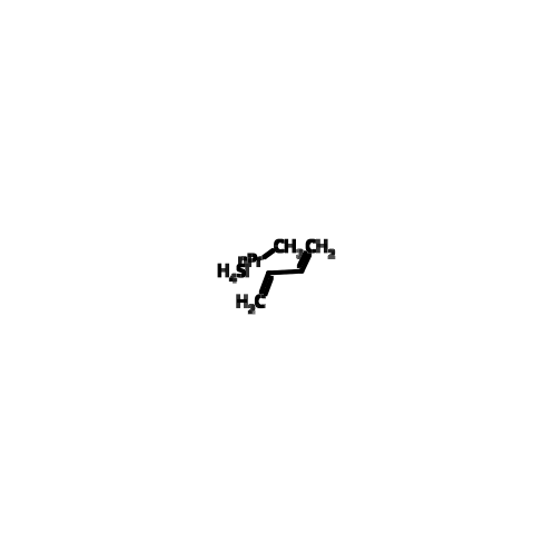 C=CC=C.CCCC.[SiH4]